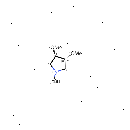 CO[C@@H]1CN(C(C)(C)C)C[C@H]1OC